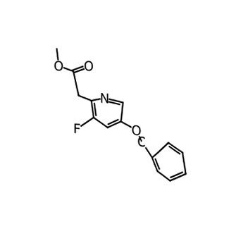 COC(=O)Cc1ncc(OCc2ccccc2)cc1F